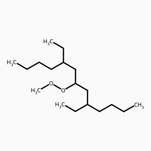 CCCCC(CC)CC(CC(CC)CCCC)OOC